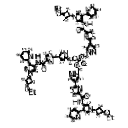 CCOC1CC(n2cc(NC(=O)c3csc(-c4cnn(COP(=O)(OCn5cc(-c6nc(C(=O)Nc7cn(C8CC(OCC)C8)nc7-c7ccccn7)cs6)cn5)OCn5cc(-c6nc(C(=O)Nc7cn(C8CC(OCC)C8)nc7-c7ccccn7)cs6)cn5)c4)n3)c(-c3ccccn3)n2)C1